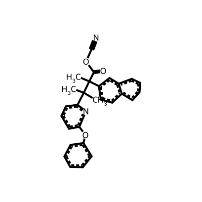 CC(C)(c1cccc(Oc2ccccc2)n1)C(C)(C(=O)OC#N)c1ccc2ccccc2c1